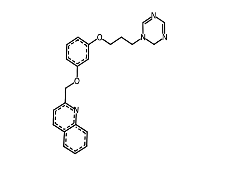 C1=NC=NCN1CCCOc1cccc(OCc2ccc3ccccc3n2)c1